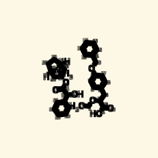 CCOC(Cc1ccc(OCc2ccccc2)cc1)C(=O)O.CN1[C@@H]2CC[C@H]1C[C@@H](OC(=O)C(O)c1ccccc1)C2